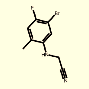 Cc1cc(F)c(Br)cc1NCC#N